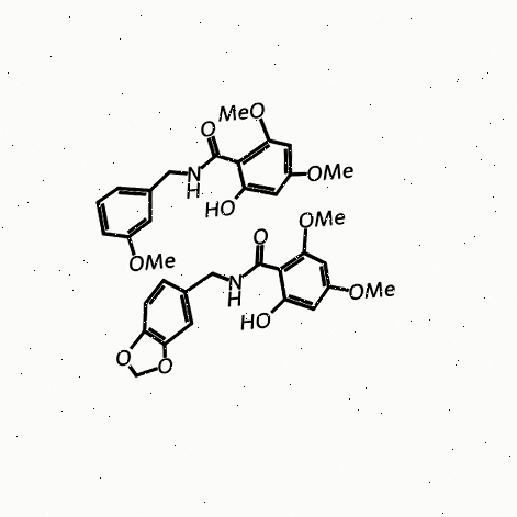 COc1cc(O)c(C(=O)NCc2ccc3c(c2)OCO3)c(OC)c1.COc1cccc(CNC(=O)c2c(O)cc(OC)cc2OC)c1